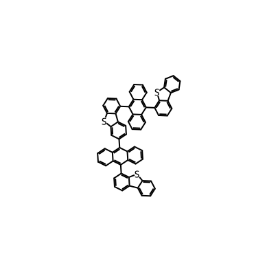 c1ccc2c(c1)sc1c(-c3c4ccccc4c(-c4ccc5c(c4)sc4cccc(-c6c7ccccc7c(-c7cccc8c7sc7ccccc78)c7ccccc67)c45)c4ccccc34)cccc12